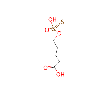 O=C(O)CCCCOS(=O)(O)=S